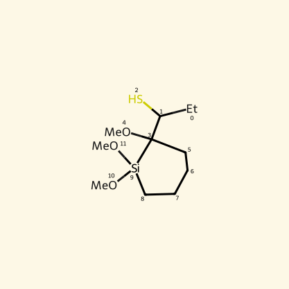 CCC(S)C1(OC)CCCC[Si]1(OC)OC